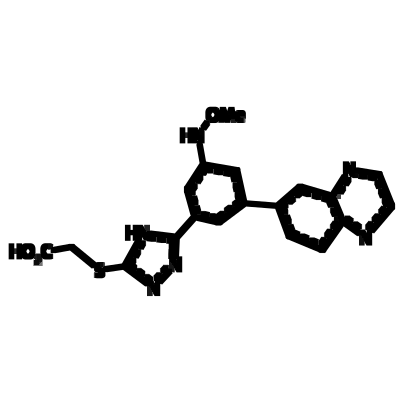 CONc1cc(-c2ccc3nccnc3c2)cc(-c2nnc(SCC(=O)O)[nH]2)c1